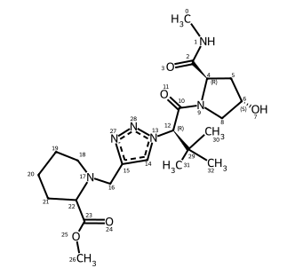 CNC(=O)[C@H]1C[C@H](O)CN1C(=O)[C@H](n1cc(CN2CCCCC2C(=O)OC)nn1)C(C)(C)C